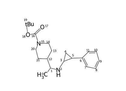 CC(NC1CC1c1ccccc1)C1CCN(C(=O)OC(C)(C)C)CC1